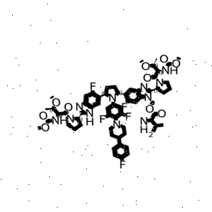 COC(=O)N[C@H](C(=O)N1CCC[C@H]1c1nc2cc(F)c([C@H]3CC[C@H](c4cc5nc([C@@H]6CCCN6C(=O)[C@@H](NC(=O)OC)[C@@H](C)OC)n(COC(=O)C(N)C(C)C)c5cc4F)N3c3cc(F)c(N4CCC(c5ccc(F)cc5)CC4)c(F)c3)cc2[nH]1)[C@@H](C)OC